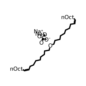 CCCCCCCC/C=C\CCCCCCCCOCCCCCCCC/C=C\CCCCCCCC.O=S(=O)([O-])[O-].[Na+].[Na+]